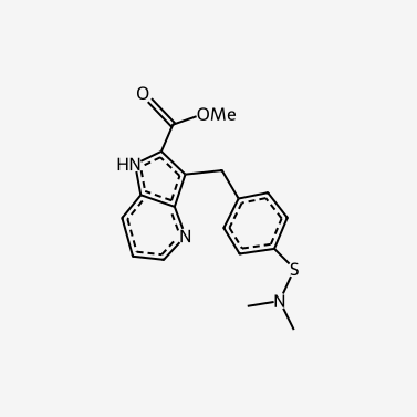 COC(=O)c1[nH]c2cccnc2c1Cc1ccc(SN(C)C)cc1